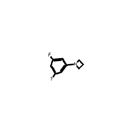 Fc1cc(F)cc(N2CCC2)c1